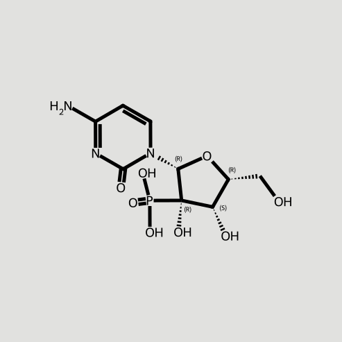 Nc1ccn([C@@H]2O[C@H](CO)[C@H](O)[C@@]2(O)P(=O)(O)O)c(=O)n1